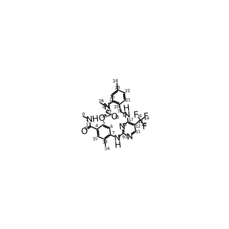 CNC(=O)c1ccc(Nc2ncc(C(F)(F)F)c(NCc3ccc(C)cc3N(C)[SH](=O)=O)n2)c(C)c1